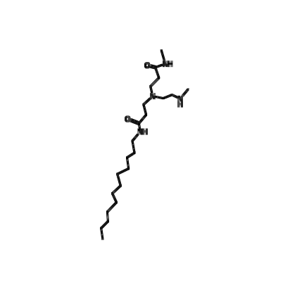 CCCCCCCCCCCCNC(=O)CCN(CCNC)CCC(=O)NC